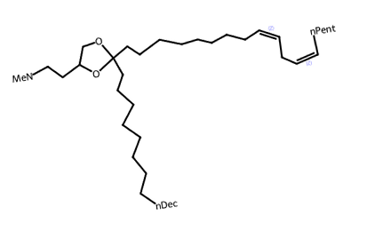 CCCCC/C=C\C/C=C\CCCCCCCCC1(CCCCCCCCCCCCCCCCCC)OCC(CCNC)O1